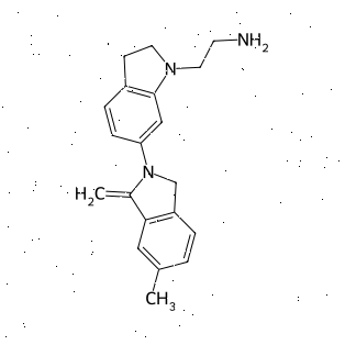 C=C1c2cc(C)ccc2CN1c1ccc2c(c1)N(CCN)CC2